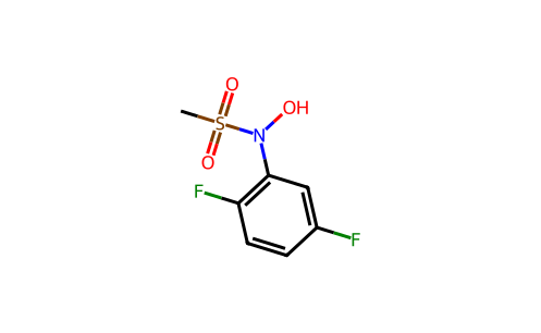 CS(=O)(=O)N(O)c1cc(F)ccc1F